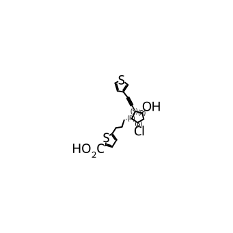 O=C(O)c1ccc(CCC[C@@H]2[C@@H](C#Cc3ccsc3)[C@H](O)C[C@@H]2Cl)s1